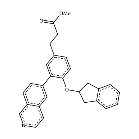 COC(=O)CCc1ccc(OC2Cc3ccccc3C2)c(-c2ccc3cnccc3c2)c1